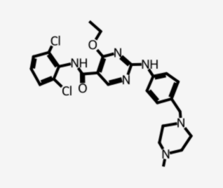 CCOc1nc(Nc2ccc(CN3CCN(C)CC3)cc2)ncc1C(=O)Nc1c(Cl)cccc1Cl